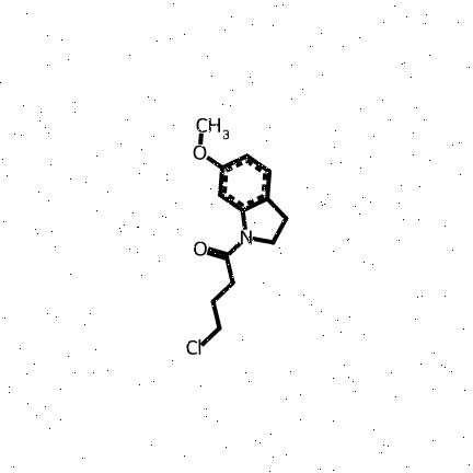 COc1ccc2c(c1)N(C(=O)CCCCl)CC2